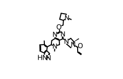 C=CC(=O)N1CCN(c2nc(OCC3CCCN3C)nc3c2CN(C)C(c2c(C)ccc4[nH]ncc24)C3)C[C@H]1C